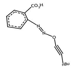 CCCCC#CON=Nc1ccccc1C(=O)O